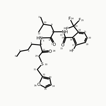 CCCCC(NC(=O)C(CC(C)C)NC(=O)c1c(F)cccc1C(F)(F)F)C(=O)CSCc1ccco1